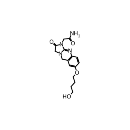 NC(=O)CN1C(=O)CN2Cc3cc(OCCCCO)ccc3N=C21